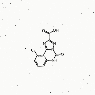 O=C(O)c1nc2c3c(Cl)cccc3[nH]c(=O)n2n1